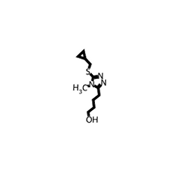 Cn1c(CCCCO)nnc1SCC1CC1